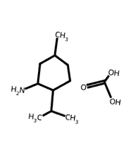 CC1CCC(C(C)C)C(N)C1.O=C(O)O